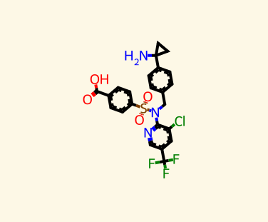 NC1(c2ccc(CN(c3ncc(C(F)(F)F)cc3Cl)S(=O)(=O)c3ccc(C(=O)O)cc3)cc2)CC1